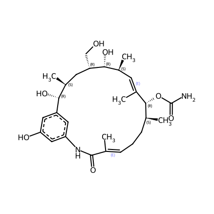 C/C1=C\CC[C@H](C)[C@@H](OC(N)=O)/C(C)=C/[C@H](C)[C@@H](O)[C@@H](CO)C[C@H](C)[C@@H](O)c2cc(O)cc(c2)NC1=O